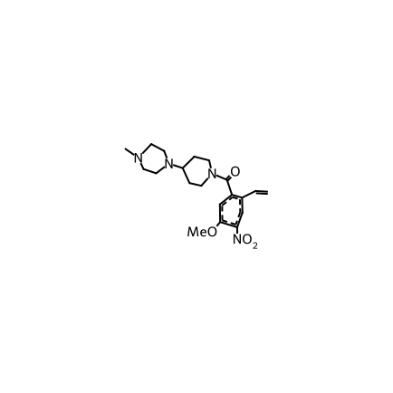 C=Cc1cc([N+](=O)[O-])c(OC)cc1C(=O)N1CCC(N2CCN(C)CC2)CC1